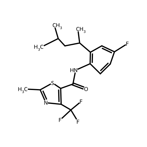 Cc1nc(C(F)(F)F)c(C(=O)Nc2ccc(F)cc2C(C)CC(C)C)s1